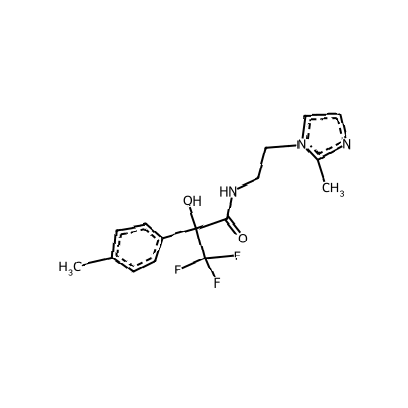 Cc1ccc(C(O)(C(=O)NCCn2ccnc2C)C(F)(F)F)cc1